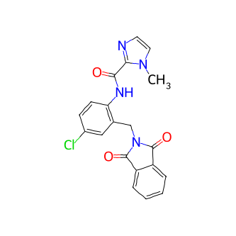 Cn1ccnc1C(=O)Nc1ccc(Cl)cc1CN1C(=O)c2ccccc2C1=O